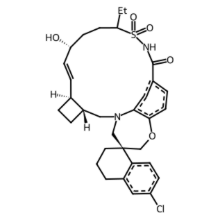 CCC1CC[C@@H](O)/C=C/[C@@H]2CC[C@H]2CN2C[C@@]3(CCCc4cc(Cl)ccc43)COc3ccc(cc32)C(=O)NS1(=O)=O